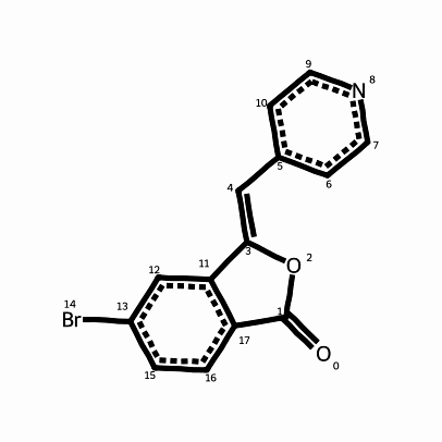 O=C1OC(=Cc2ccncc2)c2cc(Br)ccc21